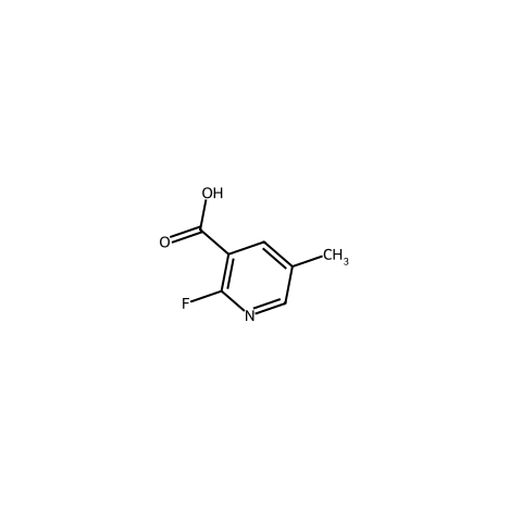 Cc1cnc(F)c(C(=O)O)c1